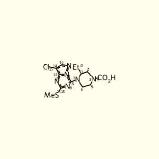 CC[C@H]1CN(C(=O)O)CCN1c1nc(SC)nc2c(Cl)cnn12